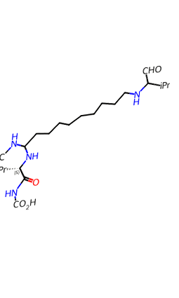 CC(C)C(C=O)NCCCCCCCCCC(NC(=O)O)N[C@H](C(=O)NC(=O)O)C(C)C